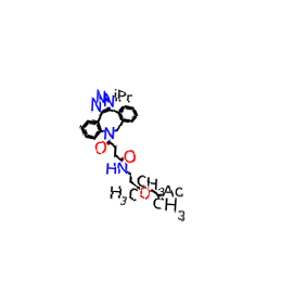 CC(=O)C(C)COC(C)(C)CCNC(=O)CCC(=O)N1Cc2ccccc2-c2c(nnn2C(C)C)-c2ccccc21